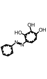 Oc1ccc(N=Nc2ccccc2)c(O)c1O